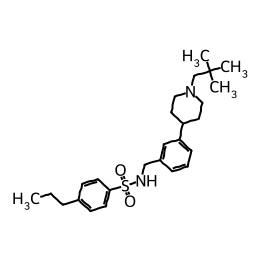 CCCc1ccc(S(=O)(=O)NCc2cccc(C3CCN(CC(C)(C)C)CC3)c2)cc1